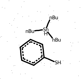 CCC[CH2][SnH]([CH2]CCC)[CH2]CCC.Sc1ccccc1